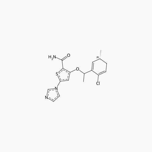 CC(Oc1cc(-n2ccnc2)sc1C(N)=O)C1=C[C@H](C)CC=C1Cl